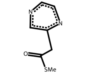 CSC(=O)Cc1cnccn1